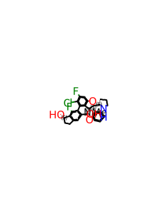 CNC(=O)c1cc2c(c(F)c1-c1c(Cl)c(F)cc3c1[C@H](O)[C@](c1ccccc1)([C@@H]1CCCN1)O3)[C@@H](O)CC2